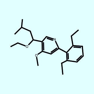 CCOC(CC(C)C)c1cnc(-c2c(CC)cccc2CC)cc1OC